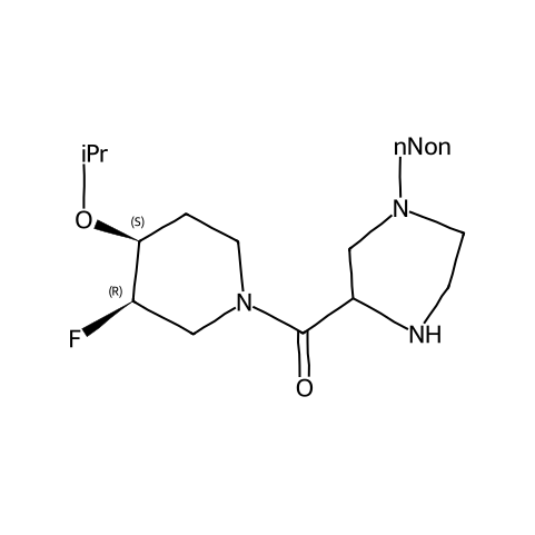 CCCCCCCCCN1CCNC(C(=O)N2CC[C@H](OC(C)C)[C@H](F)C2)C1